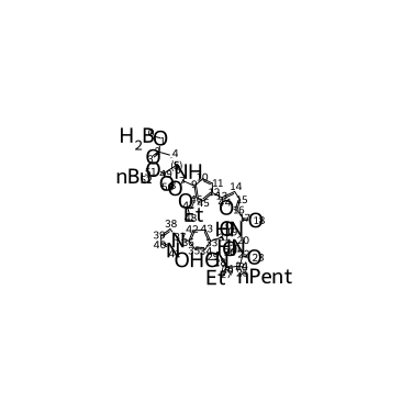 BOC(=O)C[C@H](NC(=O)c1ccc(-c2ccc(C(=O)NCNC(=O)[C@H](CCCCC)[C@@H](CC)N(C=O)OC(=O)c3ccc(-n4cccn4)cc3)o2)cc1OCC)C(=O)OCCCC